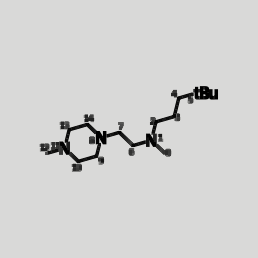 CN(CCCC(C)(C)C)CCN1CCN(C)CC1